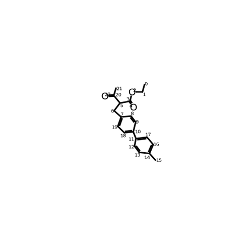 CCOC(=O)C(Cc1ccc(-c2ccc(C)cc2)cc1)C(C)=O